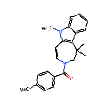 COc1ccc(C(=O)N2C=Cc3c(c4ccccc4n3C(=O)O)C(C)(C)C2)cc1